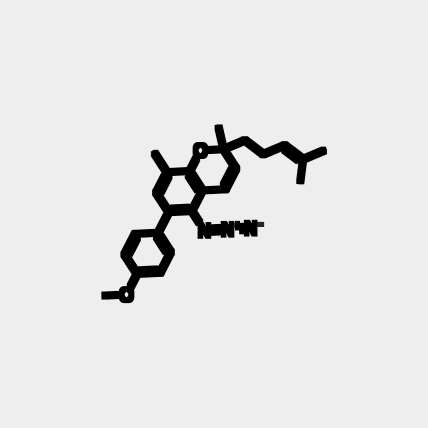 COc1ccc(-c2cc(C)c3c(c2N=[N+]=[N-])C=CC(C)(CCC=C(C)C)O3)cc1